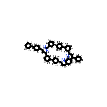 c1ccc(-c2ccc(-c3cc(-c4cccc(-c5ccc(-c6ccc7ccc8c(-c9ccccc9)cc(-c9cccc(-c%10ccccc%10)c9)nc8c7n6)cc5)c4)nc(-c4ccccc4)n3)cc2)cc1